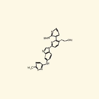 CNc1ncccc1-c1nc(-n2cnc3cc(Nc4ccc(C)nn4)ccc32)ccc1CCO